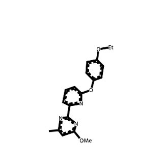 CCOc1ccc(Oc2cccc(-c3nc(C)cc(OC)n3)n2)cc1